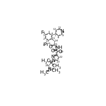 CC(C)c1cc(F)cc(-c2ccncc2)c1CC(=O)NS(=O)(=O)c1ccn(C(C)(C)CN(C)C)n1